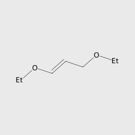 CCOC=CCOCC